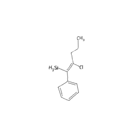 CCCC(Cl)=C([SiH3])c1ccccc1